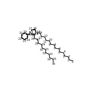 CCCCCCCCCCCCCCC[n+]1ccn(-c2ccccc2)c1CCCCCCCCCCC